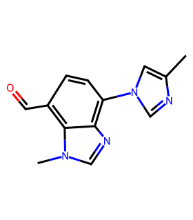 Cc1cn(-c2ccc(C=O)c3c2ncn3C)cn1